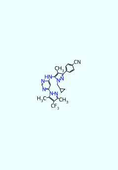 Cc1nn(-c2cc(Nc3c(C)c(-c4ccc(C#N)cc4)nn3CC3CC3)ncn2)c(C)c1C(F)(F)F